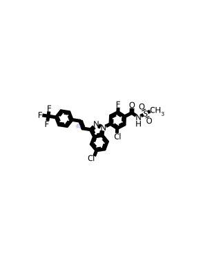 CS(=O)(=O)NC(=O)c1cc(Cl)c(-n2nc(/C=C/c3ccc(C(F)(F)F)cc3)c3cc(Cl)ccc32)cc1F